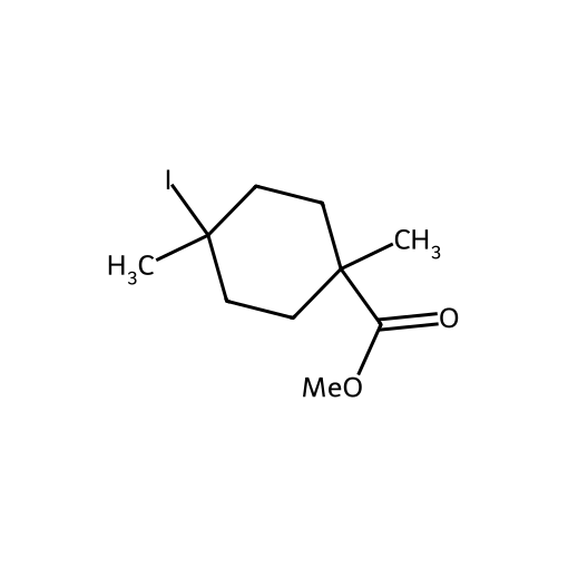 COC(=O)C1(C)CCC(C)(I)CC1